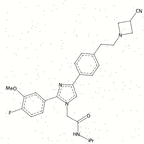 COc1cc(-c2nc(-c3ccc(CCN4CC(C#N)C4)cc3)cn2CC(=O)NC(C)C)ccc1F